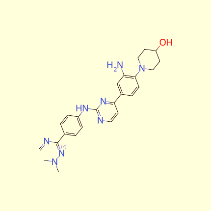 C=N/C(=N\N(C)C)c1ccc(Nc2nccc(-c3ccc(N4CCC(O)CC4)c(N)c3)n2)cc1